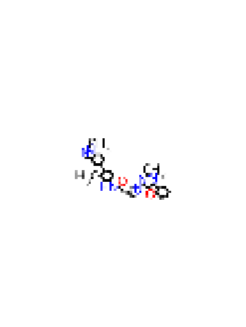 Cc1nc(N2CC[C@H](CC(=O)Nc3ccc(-c4ccc5c(cnn5C)c4)c(C)c3)C2)c2oc3ccccc3c2n1